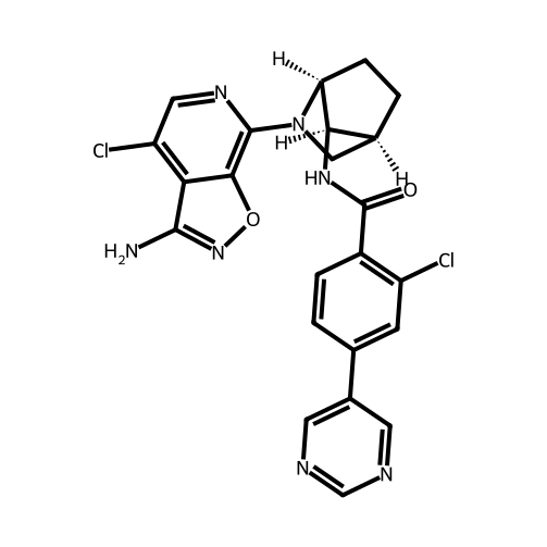 Nc1noc2c(N3C[C@@H]4CC[C@H]3[C@@H]4NC(=O)c3ccc(-c4cncnc4)cc3Cl)ncc(Cl)c12